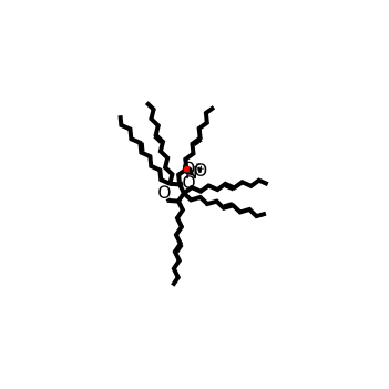 CCCC/C=C/CCCCC1COC(CCCC/C=C/CCCC)(CCCC/C=C/CCCC)C(CCCC/C=C/CCCC)(O[N+](=O)[O-])C1(CCCC/C=C/CCCC)CCCC/C=C/CCCC